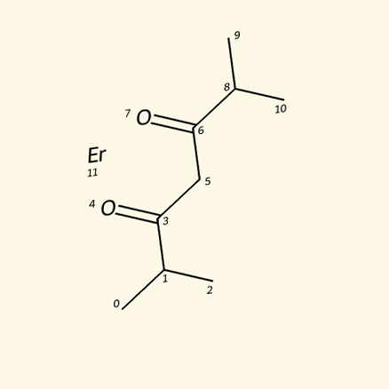 CC(C)C(=O)CC(=O)C(C)C.[Er]